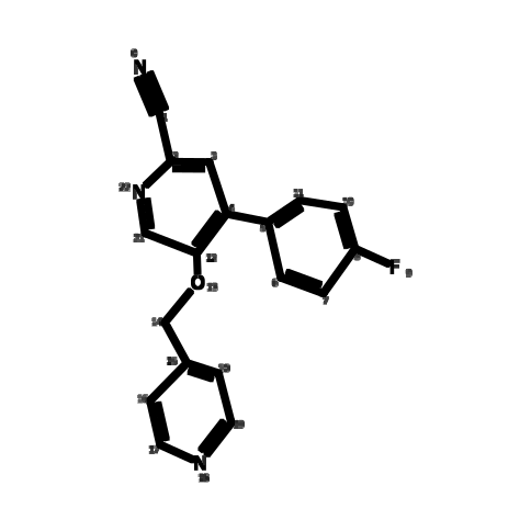 N#Cc1cc(-c2ccc(F)cc2)c(OCc2ccncc2)cn1